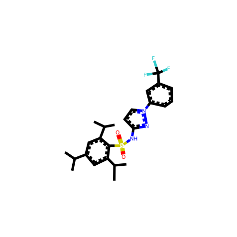 CC(C)c1cc(C(C)C)c(S(=O)(=O)Nc2ccn(-c3cccc(C(F)(F)F)c3)n2)c(C(C)C)c1